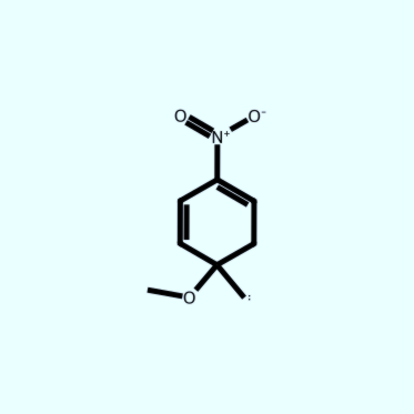 [CH]C1(OC)C=CC([N+](=O)[O-])=CC1